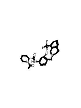 CC(=O)N1CCCC[C@@H]1C(=O)Nc1ccc(CN2CCc3cccc(C(F)(F)F)c3C2)c(Cl)c1